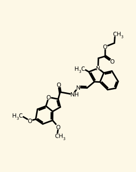 CCOC(=O)Cn1c(C)c(C=NNC(=O)c2cc3c(OC)cc(OC)cc3o2)c2ccccc21